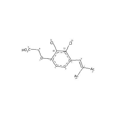 CC(=O)C(=Cc1ccc(OCC(=O)O)c(Cl)c1Cl)C(C)=O